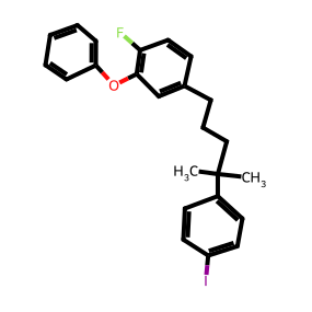 CC(C)(CCCc1ccc(F)c(Oc2ccccc2)c1)c1ccc(I)cc1